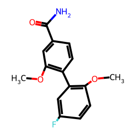 COc1cc(C(N)=O)ccc1-c1cc(F)ccc1OC